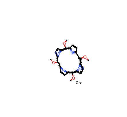 COc1c2nc(c(OC)c3ccc([nH]3)c(OC)c3nc(c(OC)c4ccc1[nH]4)C=C3)C=C2.[Co]